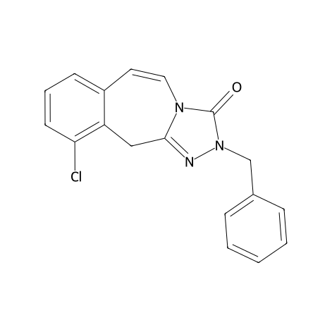 O=c1n(Cc2ccccc2)nc2n1C=Cc1cccc(Cl)c1C2